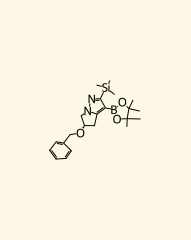 CC1(C)OB(c2c([Si](C)(C)C)nn3c2C[C@@H](OCc2ccccc2)C3)OC1(C)C